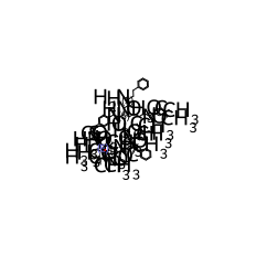 C/C(=C\[C@H](C(C)C)N(C)C(=O)[C@@H](NC(=O)[C@@H](N(C)C(=O)OC(C)(C)C)C(C)(C)c1ccccc1)C(C)(C)C)C(=O)NS(=O)(=O)Cc1ccc(NC(=O)[C@H](CCCCNC(=O)OC(C)(C)C)NC(=O)[C@@H](N)CCc2ccccc2)cc1